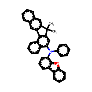 CC1(C)c2cc3ccccc3cc2-c2c1cc(N(c1ccccc1)c1cccc3c1oc1ccccc13)c1ccccc21